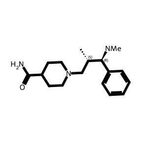 CN[C@@H](c1ccccc1)[C@@H](C)CN1CCC(C(N)=O)CC1